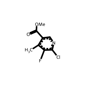 COC(=O)c1cnc(Cl)c(F)c1C